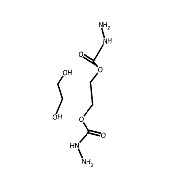 NNC(=O)OCCOC(=O)NN.OCCO